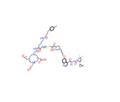 C#C[C@H]1CC(F)(F)CN1C(=O)CNC(=O)c1ccnc2ccc(OCCCCN3CCN(C(=O)[C@H](O)CSCCNC(=O)[C@H](CCCCNC(=O)CCCc4ccc(I)cc4)NC(=O)CN4CCN(COC=O)CCN(COC=O)CCN(CC(=O)O)CC4)CC3)cc12